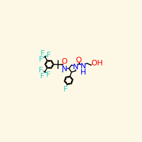 CN(C(=O)C(C)(C)c1cc(C(F)(F)F)cc(C(F)(F)F)c1)C1CN(C(=O)NCCO)CC1c1ccc(F)cc1